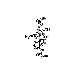 CCCCC(=O)Nc1ncnn2c([C@]3(C=NC)O[C@H](COC(=O)C(C)C)[C@@H](O)[C@H]3O)ccc12